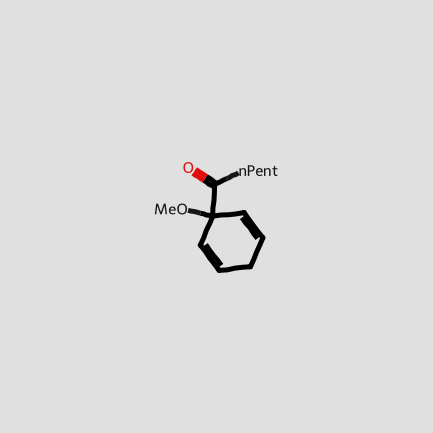 CCCCCC(=O)C1(OC)C=CCC=C1